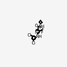 O=C(NC1CCC1)c1cnc(Nc2cc(Cl)cc(Cl)c2)cc1C(F)(F)F